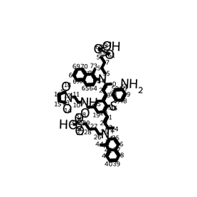 C/C(=C\C=C1/CC(C(=O)NCCN2C(=O)C=CC2=O)CC(/C=C/C(C)=[N+](\CCCCS(=O)(=O)O)c2ccc3ccccc3c2C)=C1Sc1ccc(N)cc1)N(CCCCS(=O)(=O)O)c1ccc2ccccc2c1C